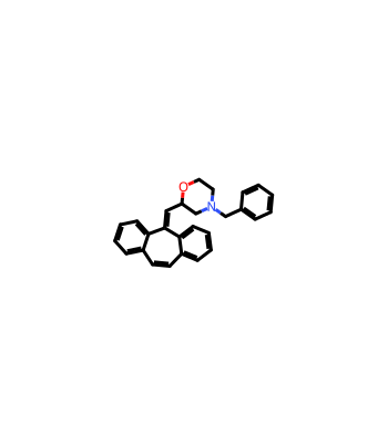 C1=Cc2ccccc2C(=CC2CN(Cc3ccccc3)CCO2)c2ccccc21